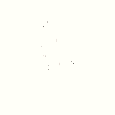 CO[C@@H]1COc2c([S@@](=O)(=NC(=O)Nc3c4c(cc5c3CCC5)CCC4)NC(c3ccccc3)(c3ccccc3)c3ccccc3)cnn2C1